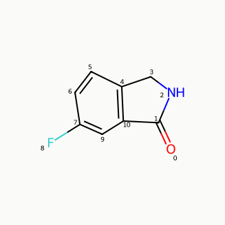 O=C1NCc2ccc(F)cc21